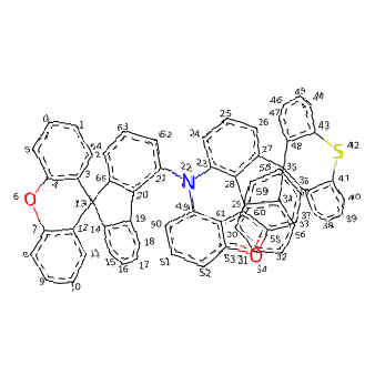 c1ccc2c(c1)Oc1ccccc1C21c2ccccc2-c2c(N(c3cccc4c3-c3ccccc3C43c4ccccc4Sc4ccccc43)c3cccc4oc5ccccc5c34)cccc21